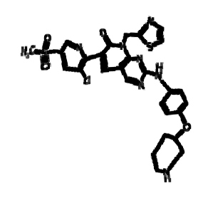 CS(=O)(=O)c1cnc(-c2cc3cnc(Nc4ccc(OC5CCCNC5)cc4)nc3n(Cc3nccs3)c2=O)c(Cl)c1